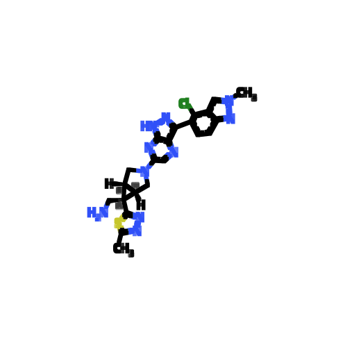 Cc1nnc([C@]2(CN)[C@@H]3CN(c4cnc5c(-c6ccc7nn(C)cc7c6Cl)n[nH]c5n4)C[C@@H]32)s1